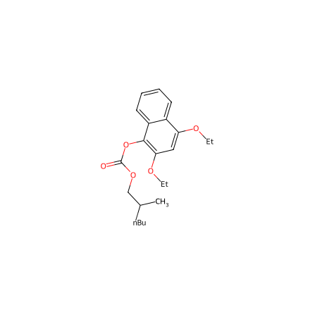 CCCCC(C)COC(=O)Oc1c(OCC)cc(OCC)c2ccccc12